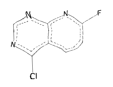 Fc1ccc2c(Cl)ncnc2n1